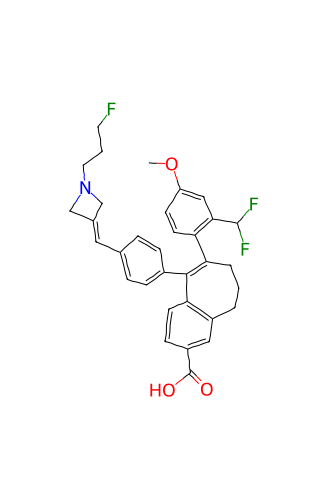 COc1ccc(C2=C(c3ccc(C=C4CN(CCCF)C4)cc3)c3ccc(C(=O)O)cc3CCC2)c(C(F)F)c1